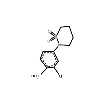 O=C(O)c1ccc(N2CCCCS2(=O)=O)cc1Cl